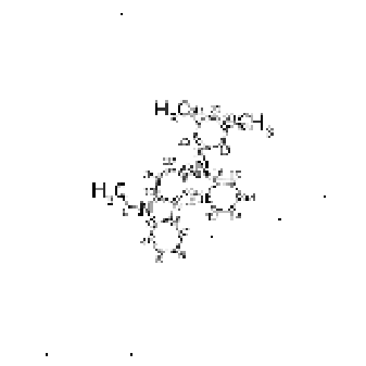 CCn1c2ccccc2c2c3c4ccccc4n(-c4cc(C)cc(C)c4)c3ccc21